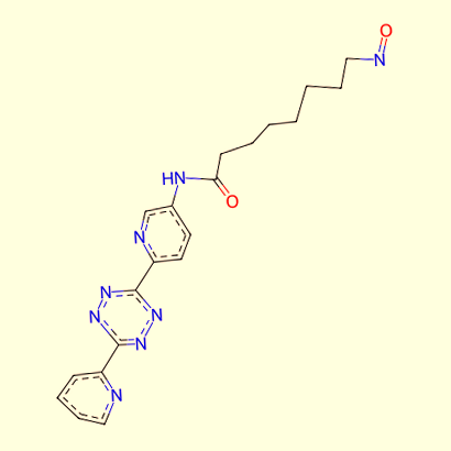 O=NCCCCCCCC(=O)Nc1ccc(-c2nnc(-c3ccccn3)nn2)nc1